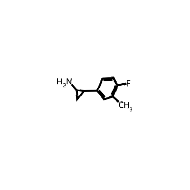 Cc1cc(C2CC2N)ccc1F